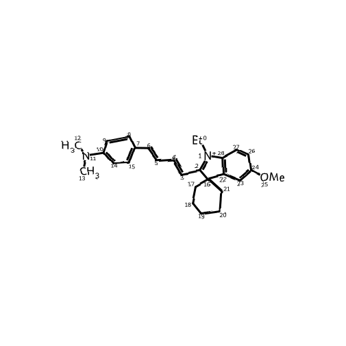 CC[N+]1=C(/C=C/C=C/c2ccc(N(C)C)cc2)C2(CCCCC2)c2cc(OC)ccc21